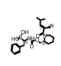 CC(C)/C=C(\C#N)C(=O)N1CCCC[C@H]1COC(=O)N[C@@H](Cc1ccccc1)B(O)O